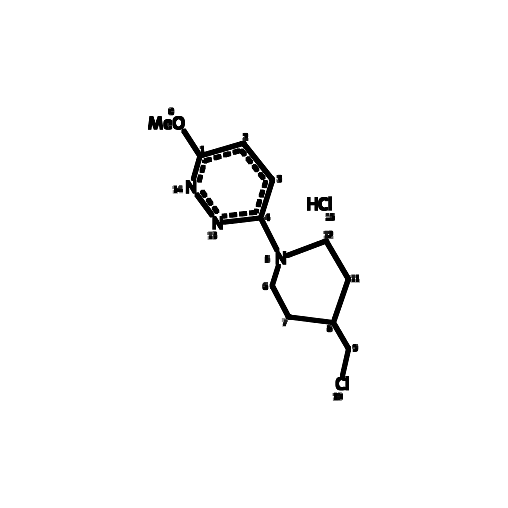 COc1ccc(N2CCC(CCl)CC2)nn1.Cl